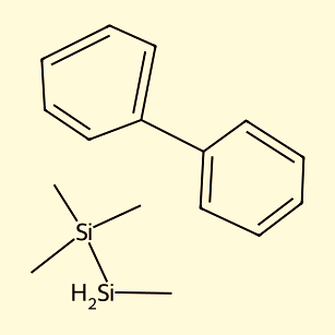 C[SiH2][Si](C)(C)C.c1ccc(-c2ccccc2)cc1